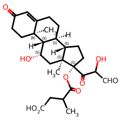 CC(CC(=O)O)C(=O)O[C@@]1(C(=O)C(O)C=O)CC[C@H]2[C@@H]3CCC4=CC(=O)CC[C@]4(C)[C@H]3[C@@H](O)C[C@@]21C